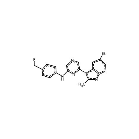 CCc1ccc2nc(C)n(-c3cncc(Nc4ccc(CF)cc4)n3)c2c1